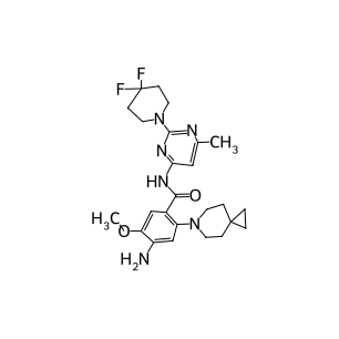 COc1cc(C(=O)Nc2cc(C)nc(N3CCC(F)(F)CC3)n2)c(N2CCC3(CC2)CC3)cc1N